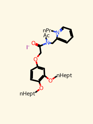 CCCCCCCOc1ccc(OCC(=O)N(Cc2cccc[n+]2CCC)C(C)=O)cc1OCCCCCCC.[I-]